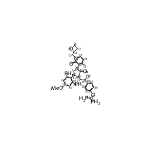 COc1cc(P)c([C@@H]2CN(c3c(C)ccn(CC4CCO4)c3=O)C(=O)[C@H]2CC(=O)c2ccc(OC(P)P)cc2)c(P)c1